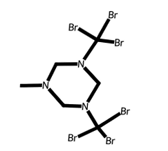 CN1CN(C(Br)(Br)Br)CN(C(Br)(Br)Br)C1